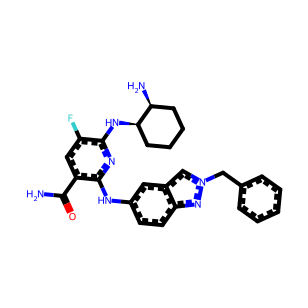 NC(=O)c1cc(F)c(N[C@@H]2CCCC[C@@H]2N)nc1Nc1ccc2nn(Cc3ccccc3)cc2c1